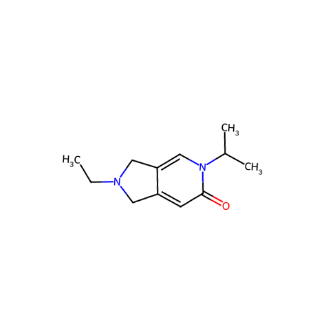 CCN1Cc2cc(=O)n(C(C)C)cc2C1